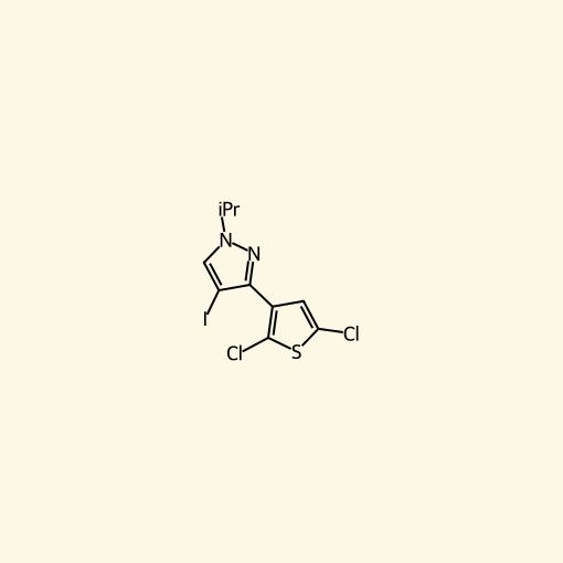 CC(C)n1cc(I)c(-c2cc(Cl)sc2Cl)n1